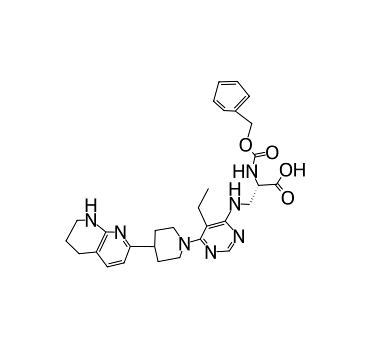 CCc1c(NC[C@H](NC(=O)OCc2ccccc2)C(=O)O)ncnc1N1CCC(c2ccc3c(n2)NCCC3)CC1